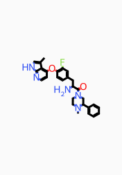 Cc1c[nH]c2nccc(Oc3ccc(CC(N)C(=O)N4CCN(C)C(c5ccccc5)C4)cc3F)c12